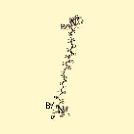 CC[N+](C)(CC)C(Br)CCCCCCCCCCCCCCCCCCCC(Br)[N+](C)(CC)CC